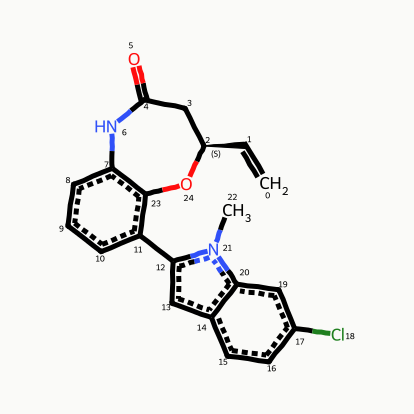 C=C[C@@H]1CC(=O)Nc2cccc(-c3cc4ccc(Cl)cc4n3C)c2O1